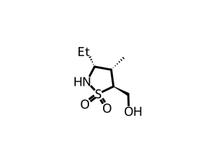 CC[C@H]1NS(=O)(=O)[C@H](CO)[C@H]1C